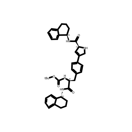 CC(C)(C)OC(=O)N[C@@H](Cc1ccc(C2=C[C@@H](C(=O)N[C@@H]3CCCc4ccccc43)NC2)cc1)C(=O)N[C@@H]1CCCc2ccccc21